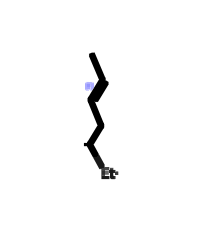 C[CH][CH]C/C=C/C